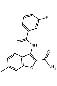 Cc1ccc2c(NC(=O)c3cccc(F)c3)c(C(N)=O)oc2c1